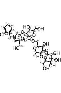 CC1OC(COC2OC(CO)C(O)C(OC3CN(Cc4ccccc4Cl)CC(CO)O3)C2O)C(O)C(OC2OC(CO)C(O)C(O)C2O)C1O